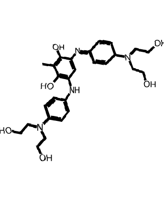 Cc1c(O)c(N=C2C=CC(N(CCO)CCO)C=C2)cc(Nc2ccc(N(CCO)CCO)cc2)c1O